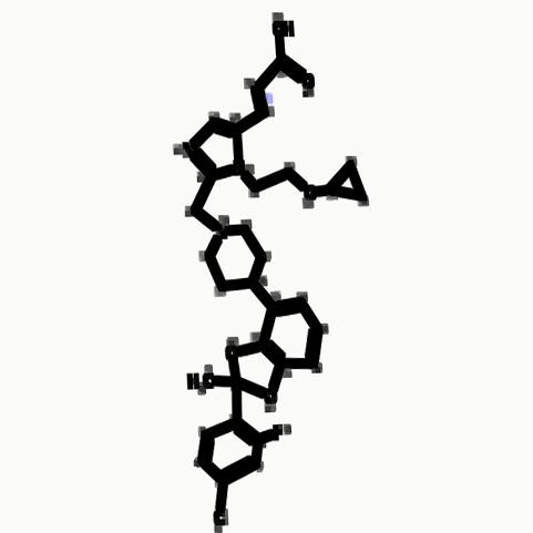 CC1(c2ccc(Cl)cc2F)Oc2cccc(C3CCN(Cc4ncc(/C=C/C(=O)O)n4CCOC4CC4)CC3)c2O1